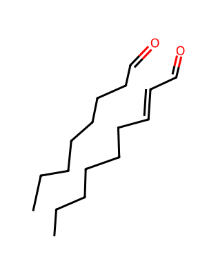 CCCCCCC=CC=O.CCCCCCCC=O